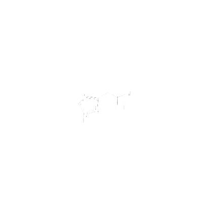 CCCC(O)Cc1nc[nH]n1